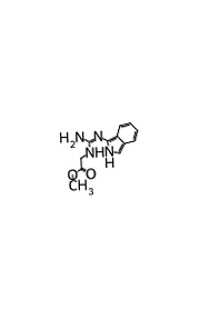 COC(=O)CNC(N)=Nc1[nH]cc2ccccc12